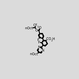 CCCCCCCCc1cnc(-c2ccc(C(=O)O)c(-c3ccc(C(=O)OC(CCCCCCCC)C(F)(F)F)cc3F)c2F)nc1